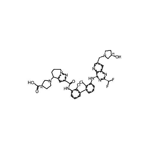 O=C(Nc1cccc(-c2cccc(Nc3nc(C(F)F)nc4cc(CN5CC[C@@H](O)C5)cnc34)c2Cl)c1Cl)c1cc2n(n1)CCCC2N1CC[C@@H](C(=O)O)C1